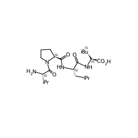 CC[C@H](C)[C@H](NC(=O)[C@H](CC(C)C)NC(=O)[C@@H]1CCCN1C(=O)[C@@H](N)C(C)C)C(=O)O